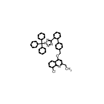 CCc1cc(OCc2ccc(-c3ccccc3-c3nnn(C(c4ccccc4)(c4ccccc4)c4ccccc4)n3)cc2)c2cccc(Cl)c2n1